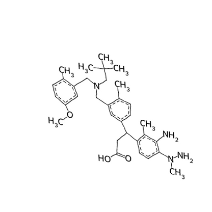 COc1ccc(C)c(CN(Cc2cc(C(CC(=O)O)c3ccc(N(C)N)c(N)c3C)ccc2C)CC(C)(C)C)c1